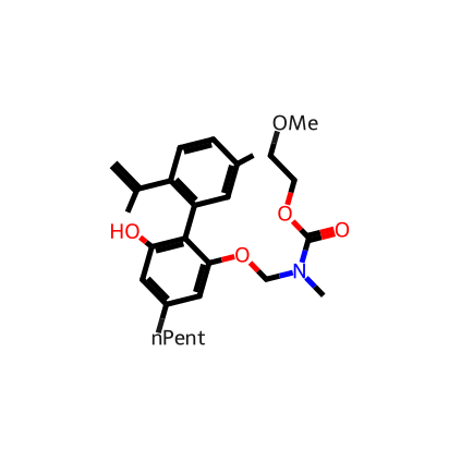 C=C(C)c1ccc(C)cc1-c1c(O)cc(CCCCC)cc1OCN(C)C(=O)OCCOC